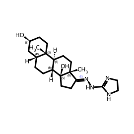 C[C@]12CC[C@H](O)C[C@H]1CC[C@@H]1[C@@H]2CC[C@]2(C)/C(=N/NC3=NCCN3)CC[C@]12O